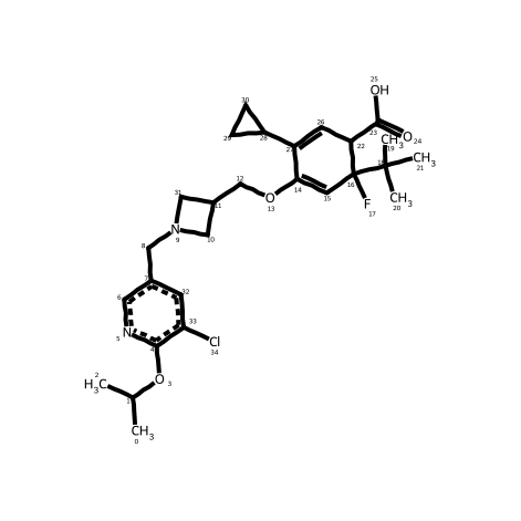 CC(C)Oc1ncc(CN2CC(COC3=CC(F)(C(C)(C)C)C(C(=O)O)C=C3C3CC3)C2)cc1Cl